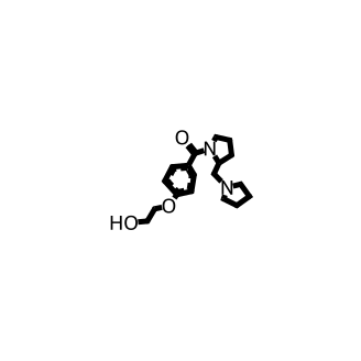 O=C(c1ccc(OCCO)cc1)N1CCCC1CN1CCCC1